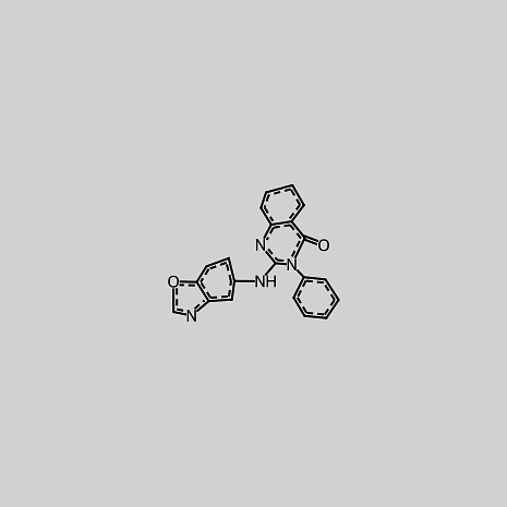 O=c1c2ccccc2nc(Nc2ccc3ocnc3c2)n1-c1ccccc1